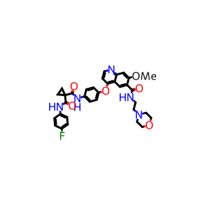 COc1cc2nccc(Oc3ccc(NC(=O)C4(C(=O)Nc5ccc(F)cc5)CC4)cc3)c2cc1C(=O)NCCN1CCOCC1